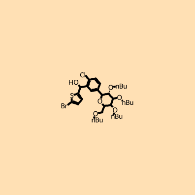 CCCCOCC1OC(c2ccc(Cl)c(C(O)c3ccc(Br)s3)c2)[C@H](OCCCC)C(OCCCC)C1OCCCC